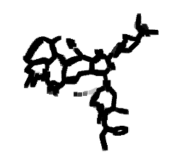 C=CC(=O)N1C[C@H](C)N(c2nc(N3CC(N(C)C)C3)nc3c(F)c(-c4c(C)ccc5cnn(CC)c45)c(Cl)cc23)C[C@H]1C